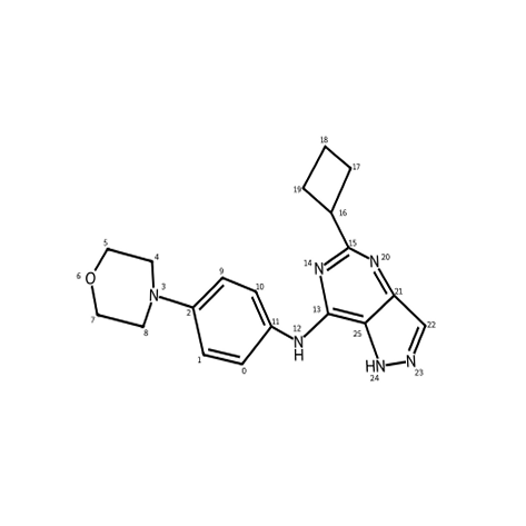 c1cc(N2CCOCC2)ccc1Nc1nc(C2CCC2)nc2cn[nH]c12